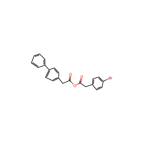 O=C(Cc1ccc(Br)cc1)OC(=O)Cc1ccc(-c2ccccc2)cc1